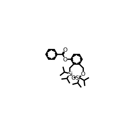 CC(C)[Si]1(C(C)C)Cc2c(cccc2OC(=O)c2ccccc2)CO[Si](C(C)C)(C(C)C)O1